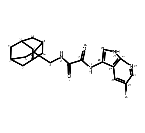 O=C(NCC1CC2CC3CC(C2)CC1C3)C(=O)Nc1c[nH]c2ncc(F)cc12